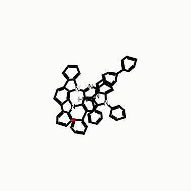 c1ccc(-c2ccc(C3=NC(c4ccccc4)NC(n4c5ccccc5c5ccc6c7ccccc7n(-c7cc8c9ccccc9n(-c9ccccc9)c8cc7-c7ccccc7)c6c54)=N3)cc2)cc1